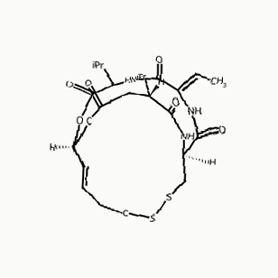 C/C=C1\NC(=O)[C@H]2CSSCC/C=C/[C@H](CC(=O)C[C@H](C(C)C)C(=O)N2)OC(=O)C(C(C)C)NC1=O